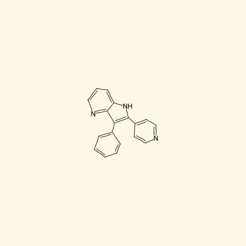 c1ccc(-c2c(-c3ccncc3)[nH]c3cccnc23)cc1